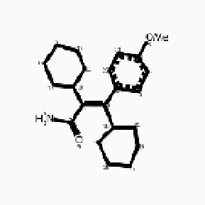 COc1ccc(C(=C(C(N)=O)C2CCCCC2)C2CCCCC2)cc1